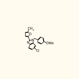 COc1ccc(Cn2c(-c3ccc(C)o3)nc3ccc(Cl)cc32)cc1